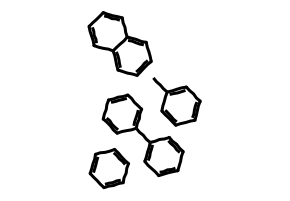 Cc1ccccc1.c1ccc(-c2ccccc2)cc1.c1ccc2ccccc2c1.c1ccccc1